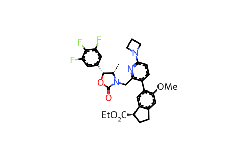 CCOC(=O)[C@@H]1CCc2cc(OC)c(-c3ccc(N4CCC4)nc3CN3C(=O)O[C@H](c4cc(F)c(F)c(F)c4)[C@@H]3C)cc21